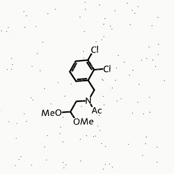 COC(CN(Cc1cccc(Cl)c1Cl)C(C)=O)OC